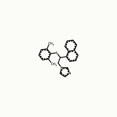 Cc1cccc(C)c1SC(Cn1ccnc1)c1cccc2ccccc12